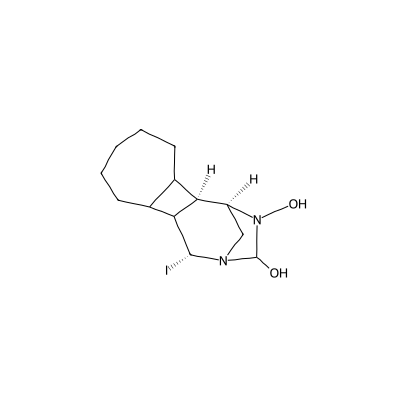 OC1N(O)[C@H]2CN1[C@H](I)C1C3CCCCCC3[C@H]12